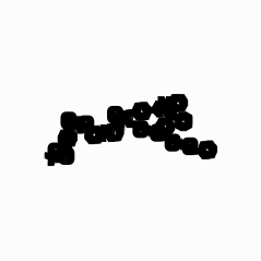 CC(C)(C)OC(=O)N1CCN(C(=O)C(C)(C)Oc2cccc(N3CCC[C@@H](C(=O)N(CCOCCOCCOCCOCc4ccccc4)Cc4ccc(-c5cnn(C(c6ccccc6)(c6ccccc6)c6ccccc6)c5)cc4)C3)c2)CC1